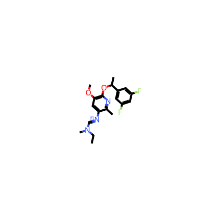 CCN(C)/C=N/c1cc(OC)c(OC(C)c2cc(F)cc(F)c2)nc1C